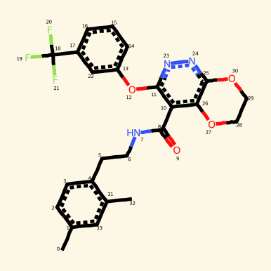 Cc1ccc(CCNC(=O)c2c(Oc3cccc(C(F)(F)F)c3)nnc3c2OCCO3)c(C)c1